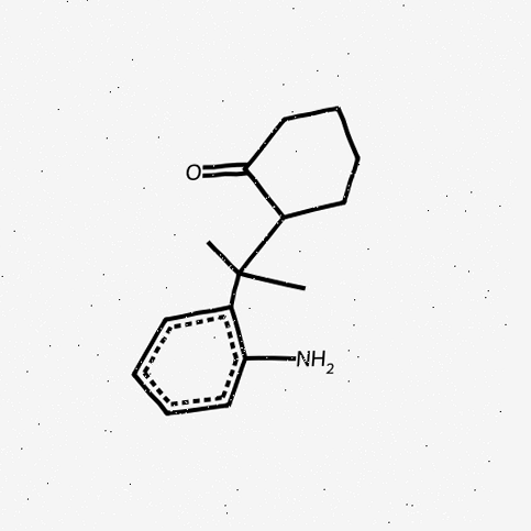 CC(C)(c1ccccc1N)C1CCCCC1=O